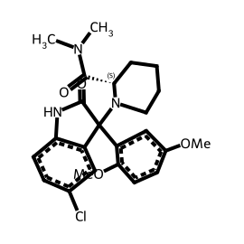 COc1ccc(OC)c(C2(N3CCCC[C@H]3C(=O)N(C)C)C(=O)Nc3ccc(Cl)cc32)c1